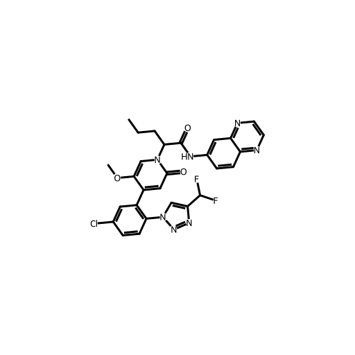 CCCC(C(=O)Nc1ccc2nccnc2c1)n1cc(OC)c(-c2cc(Cl)ccc2-n2cc(C(F)F)nn2)cc1=O